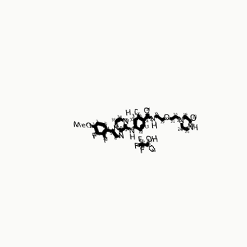 COc1ccc(-c2cnc3c(Nc4ccc(C(=O)NCCOCCN5CCNC(=O)C5)c(C)c4)nccn23)c(F)c1F.O=C(O)C(F)(F)F